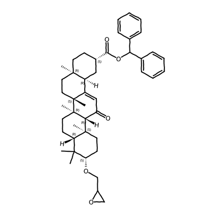 CC1(C)[C@@H](OCC2CO2)CC[C@]2(C)[C@H]3C(=O)C=C4[C@@H]5C[C@@H](C(=O)OC(c6ccccc6)c6ccccc6)CC[C@]5(C)CC[C@@]4(C)[C@]3(C)CC[C@@H]12